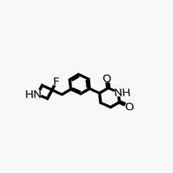 O=C1CCC(c2cccc(CC3(F)CNC3)c2)C(=O)N1